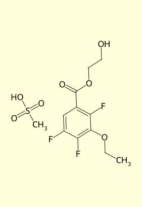 CCOc1c(F)c(F)cc(C(=O)OCCO)c1F.CS(=O)(=O)O